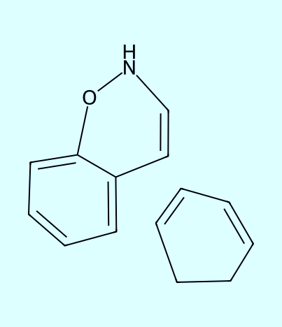 C1=CCCC=C1.C1=Cc2ccccc2ON1